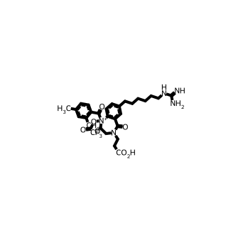 Cc1ccc(C(=O)[N+]2(OC(=O)C(F)(F)F)C(=O)CN(CCC(=O)O)C(=O)c3cc(CCCCCCNC(=N)N)ccc32)c(C)c1